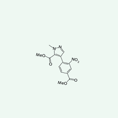 COC(=O)c1ccc(-c2cnn(C)c2C(=O)OC)c([N+](=O)[O-])c1